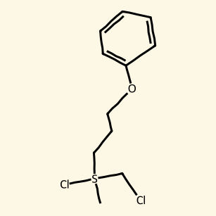 CS(Cl)(CCl)CCCOc1ccccc1